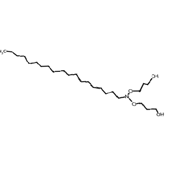 CCCCCCCCCCCCCCCCCCCN(OCCCO)OCCCO